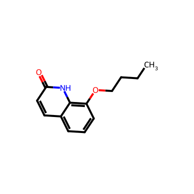 CCCCOc1cccc2ccc(=O)[nH]c12